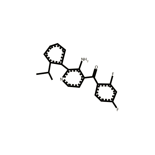 CC(C)c1ccccc1-c1nccc(C(=O)c2ccc(F)cc2F)c1N